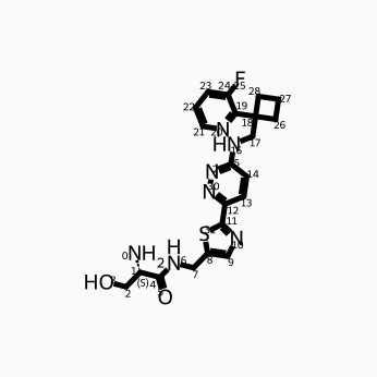 N[C@@H](CO)C(=O)NCc1cnc(-c2ccc(NCC3(c4ncccc4F)CCC3)nn2)s1